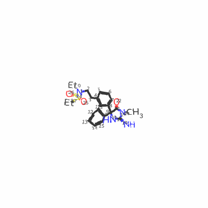 CCN(CCc1cccc(C2(c3ccccc3)NC(=N)N(C)C2=O)c1)S(=O)(=O)CC